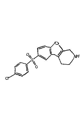 O=S(=O)(c1ccc(Cl)cc1)c1ccc2oc3c(c2c1)CCNC3